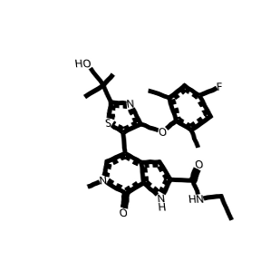 CCNC(=O)c1cc2c(-c3sc(C(C)(C)O)nc3Oc3c(C)cc(F)cc3C)cn(C)c(=O)c2[nH]1